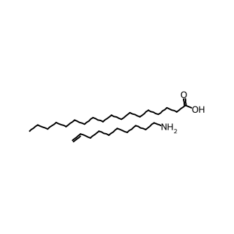 C=CCCCCCCCCN.CCCCCCCCCCCCCCCCCC(=O)O